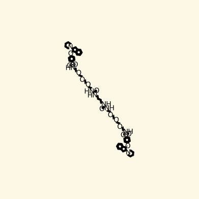 O=C(NCCCCNC(=O)NCCOCCOCCOCCNS(=O)(=O)c1ccc(O[C@H]2c3ccccc3C[C@@H]2N2CCCCC2)cc1)NCCOCCOCCOCCNS(=O)(=O)c1ccc(O[C@H]2c3ccccc3C[C@@H]2N2CCCCC2)cc1